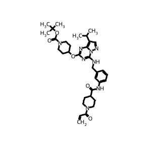 C=CC(=O)N1CCC(C(=O)Nc2cccc(CNc3nc(OC4CCN(C(=O)OC(C)(C)C)CC4)nc4c(C(C)C)cnn34)c2)CC1